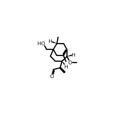 C=C(C=O)[C@@H]1CCC2(CO)CC(C)=C(C[C@H]2C)[C@@H]1OC